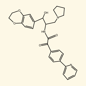 O=C(NC(CN1CCCC1)C(O)c1ccc2c(c1)OCCO2)C(=O)c1ccc(-c2ccccn2)cc1